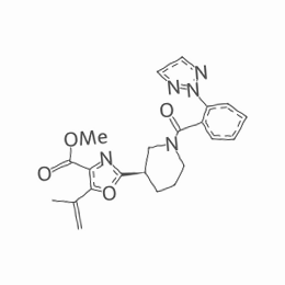 C=C(C)c1oc([C@@H]2CCCN(C(=O)c3ccccc3-n3nccn3)C2)nc1C(=O)OC